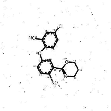 N#Cc1cc(Cl)ccc1Oc1ccc([N+](=O)[O-])c(C2=NCCCO2)c1